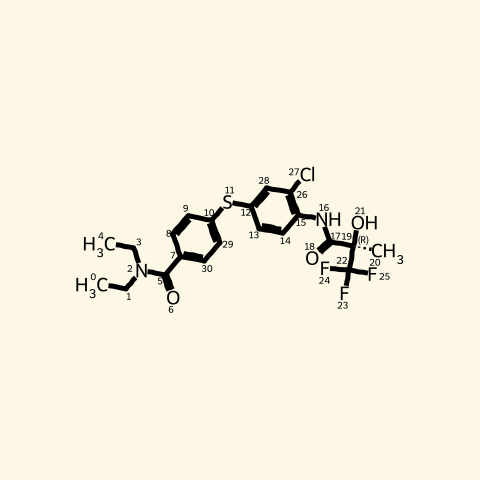 CCN(CC)C(=O)c1ccc(Sc2ccc(NC(=O)[C@@](C)(O)C(F)(F)F)c(Cl)c2)cc1